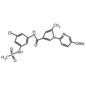 COc1ccc(-n2cc(C(=O)Nc3cc(Cl)cc(NS(C)(=O)=O)c3)cc2C)nc1